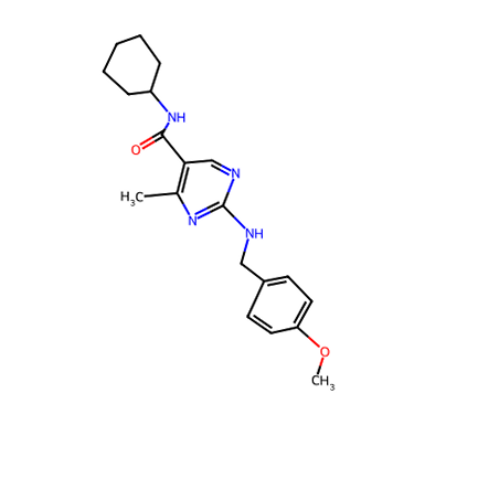 COc1ccc(CNc2ncc(C(=O)NC3CCCCC3)c(C)n2)cc1